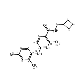 O=C(NCC1CCC1)c1cnc(Nc2ccc(Br)cc2C(F)(F)F)nc1C(F)(F)F